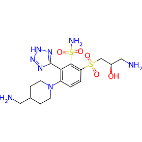 NCC1CCN(c2ccc(S(=O)(=O)C[C@H](O)CN)c(S(N)(=O)=O)c2-c2nn[nH]n2)CC1